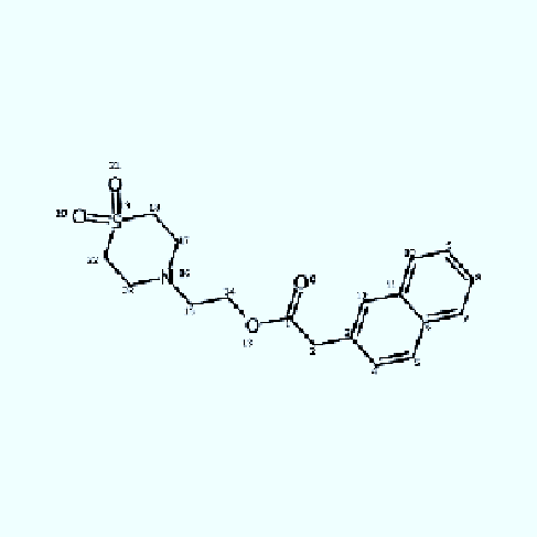 O=C(Cc1ccc2ccccc2c1)OCCN1CCS(=O)(=O)CC1